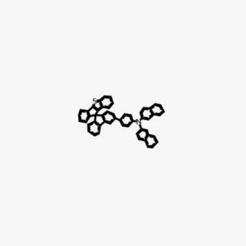 c1ccc2c(c1)-c1cc(-c3ccc(N(c4ccc5ccccc5c4)c4ccc5ccccc5c4)cc3)ccc1C21c2ccccc2-c2sc3ccccc3c21